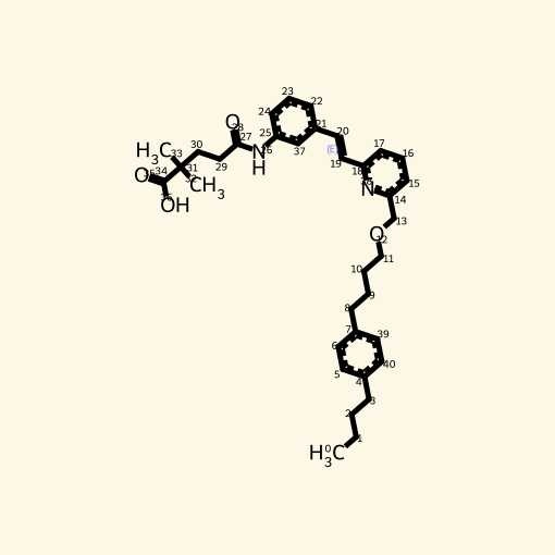 CCCCc1ccc(CCCCOCc2cccc(/C=C/c3cccc(NC(=O)CCC(C)(C)C(=O)O)c3)n2)cc1